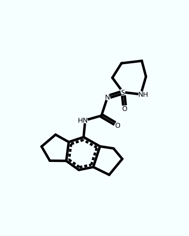 O=C(N=S1(=O)CCCCN1)Nc1c2c(cc3c1CCC3)CCC2